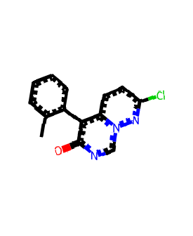 Cc1ccccc1-c1c(=O)ncn2nc(Cl)ccc12